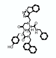 O=C1[C@H](Cc2ccc(O)cc2)N2C(=O)CN(Cc3nnn4c3-c3ccccc3C4)N(C(=O)NCc3ccccc3)[C@H]2CN1Cc1cccc2ccccc12